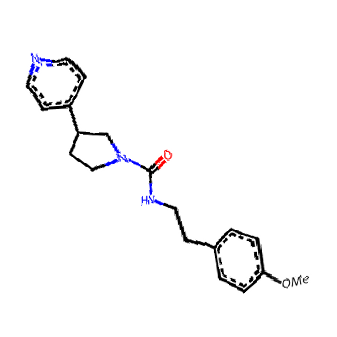 COc1ccc(CCNC(=O)N2CCC(c3ccncc3)C2)cc1